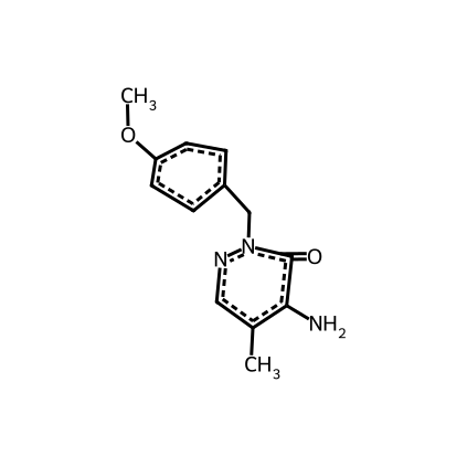 COc1ccc(Cn2ncc(C)c(N)c2=O)cc1